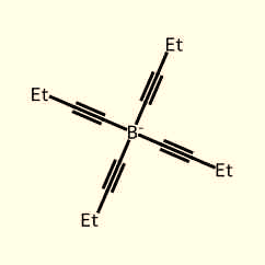 CCC#C[B-](C#CCC)(C#CCC)C#CCC